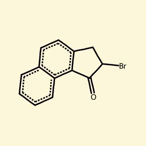 O=C1c2c(ccc3ccccc23)CC1Br